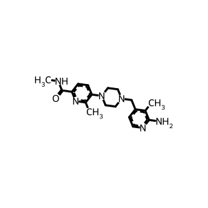 CNC(=O)c1ccc(N2CCN(Cc3ccnc(N)c3C)CC2)c(C)n1